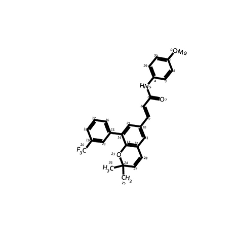 COc1ccc(NC(=O)/C=C/c2cc3c(c(-c4cccc(C(F)(F)F)c4)c2)OC(C)(C)C=C3)cc1